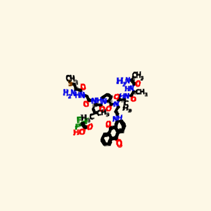 CSC[C@H](N)C(=O)NCC(=O)N[C@@H](CC(C)C)C(=O)N1CCC[C@H]1C(=O)N(CCCNc1cccc2c1C(=O)c1ccccc1C2=O)C(=O)[C@H](C)NC(=O)[C@H](C)NC(=O)[C@@H](C)N.O=C(O)C(F)(F)F